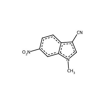 Cn1cc(C#N)c2ccc([N+](=O)[O-])cc21